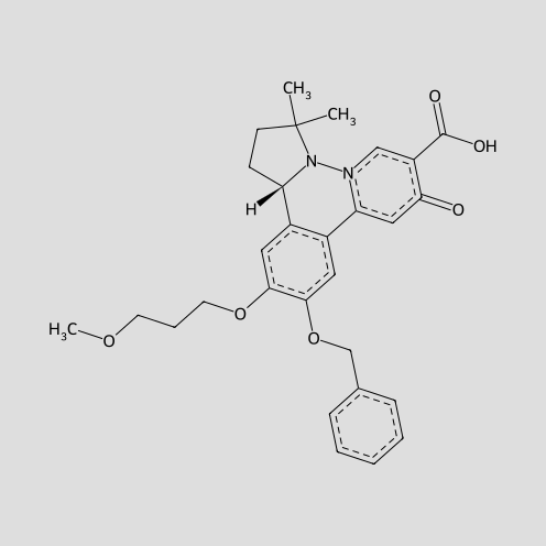 COCCCOc1cc2c(cc1OCc1ccccc1)-c1cc(=O)c(C(=O)O)cn1N1[C@H]2CCC1(C)C